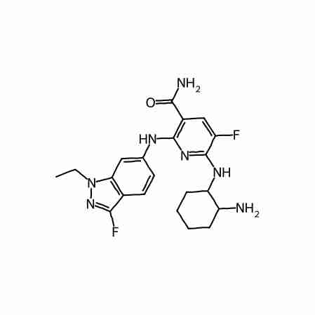 CCn1nc(F)c2ccc(Nc3nc(NC4CCCCC4N)c(F)cc3C(N)=O)cc21